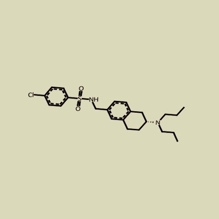 CCCN(CCC)[C@@H]1CCc2cc(CNS(=O)(=O)c3ccc(Cl)cc3)ccc2C1